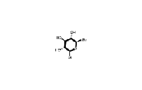 CC(C)(C)[C@H]1O[C@@H](O)[C@H](O)[C@@H](O)[C@@H]1O